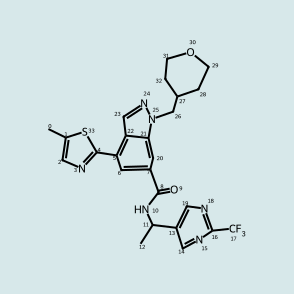 Cc1cnc(-c2cc(C(=O)NC(C)c3cnc(C(F)(F)F)nc3)cc3c2cnn3CC2CCOCC2)s1